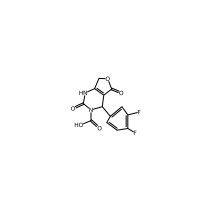 O=C1OCC2=C1C(c1ccc(F)c(F)c1)N(C(=O)O)C(=O)N2